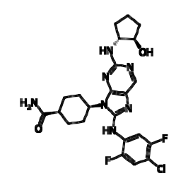 NC(=O)[C@H]1CC[C@@H](n2c(Nc3cc(F)c(Cl)cc3F)nc3cnc(N[C@@H]4CCC[C@H]4O)nc32)CC1